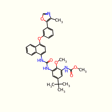 COC(=O)Nc1cc(C(C)(C)C)cc(NC(=O)Nc2ccc(Oc3cccc(-c4ocnc4C)c3)c3ccccc23)c1OC